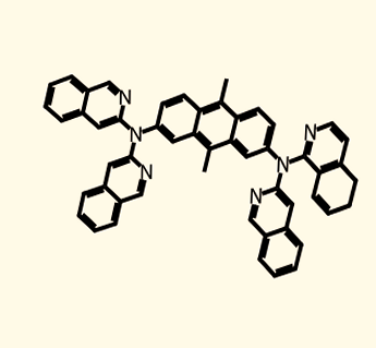 Cc1c2ccc(N(c3cc4ccccc4cn3)c3cc4ccccc4cn3)cc2c(C)c2cc(N(c3cc4ccccc4cn3)c3nccc4c3C=CCC4)ccc12